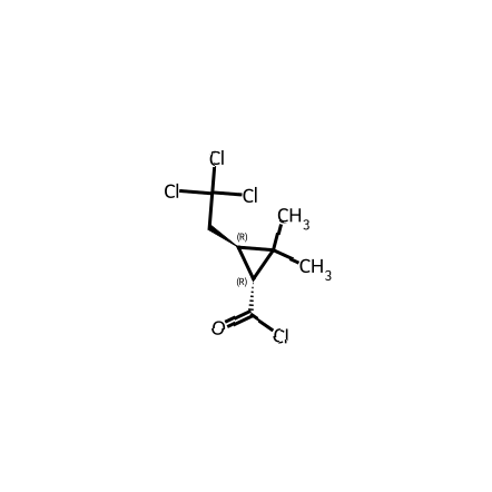 CC1(C)[C@H](CC(Cl)(Cl)Cl)[C@H]1C(=O)Cl